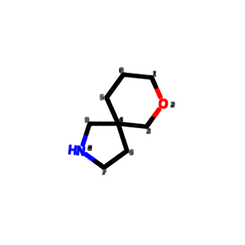 C1COCC2(C1)CCNC2